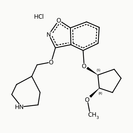 CO[C@@H]1CCC[C@@H]1Oc1cccc2onc(OCC3CCNCC3)c12.Cl